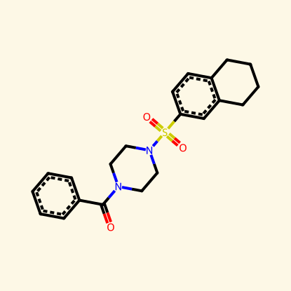 O=C(c1ccccc1)N1CCN(S(=O)(=O)c2ccc3c(c2)CCCC3)CC1